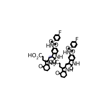 O=C(O)CCc1c(/C=C2\C(=O)Nc3ccc(NS(=O)(=O)c4ccc(F)cc4)cc32)[nH]c2c1C(=O)CCC2.O=C(O)CCc1c(C=C2C(=O)Nc3ccc(NS(=O)(=O)c4ccc(F)cc4)cc32)[nH]c2c1C(=O)CCC2